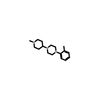 Cc1c[c]ccc1N1CCN(C2CCN(C)CC2)CC1